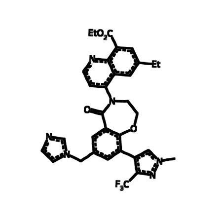 CCOC(=O)c1cc(CC)cc2c(N3CCOc4c(cc(Cn5ccnc5)cc4-c4cn(C)nc4C(F)(F)F)C3=O)ccnc12